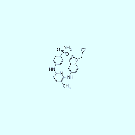 Cc1cnc(Nc2ccc(S(N)(=O)=O)cc2)nc1Nc1ccc2c(cnn2CC2CC2)c1